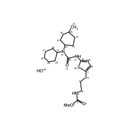 COC(=O)NCCSc1cnc(NC(=O)N(C2CCCCC2)C2CCC(C)CC2)s1.Cl